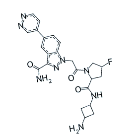 NC(=O)c1nn(CC(=O)N2CC(F)CC2C(=O)NC2CC(N)C2)c2ccc(-c3ccnnc3)cc12